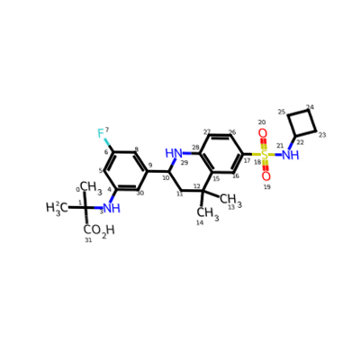 CC(C)(Nc1cc(F)cc(C2CC(C)(C)c3cc(S(=O)(=O)NC4CCC4)ccc3N2)c1)C(=O)O